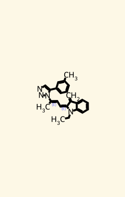 C=c1/c(=C\C=C(/C)n2nncc2-c2cccc(C)c2)n(CC)c2ccccc12